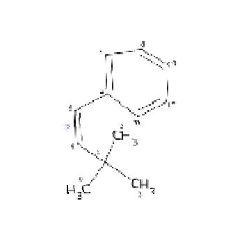 CC(C)(C)/C=C\c1cc[c]cc1